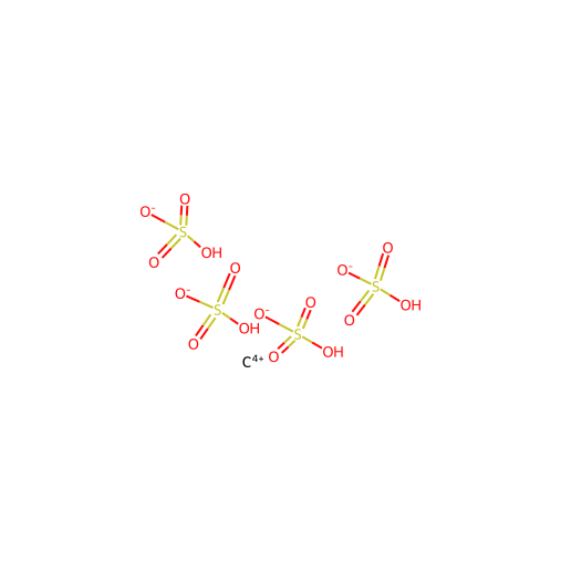 O=S(=O)([O-])O.O=S(=O)([O-])O.O=S(=O)([O-])O.O=S(=O)([O-])O.[C+4]